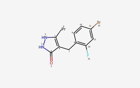 CC(C)c1[nH][nH]c(=O)c1Cc1ccc(Br)cc1F